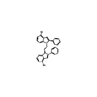 Brc1cccc2c1C=C(c1ccccc1)C2CCC1C(c2ccccc2)=Cc2c(Br)cccc21